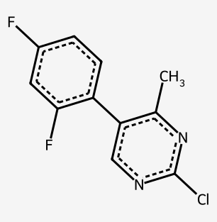 Cc1nc(Cl)ncc1-c1ccc(F)cc1F